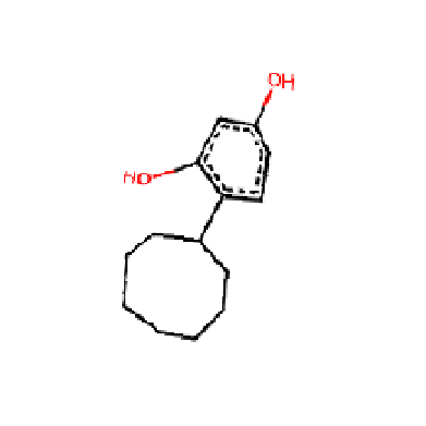 Oc1ccc(C2CCCCCCC2)c(O)c1